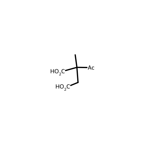 CC(=O)C(C)(CC(=O)O)C(=O)O